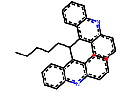 CCCCCC(c1c2ccccc2nc2ccccc12)c1c2ccccc2nc2ccccc12